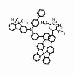 CC(C)CC(c1ccc(-c2ccc3c(c2)C2(c4ccccc4-3)c3ccccc3-c3ccc(-c4ccccc4-c4cccc(N(c5ccc(-c6ccccc6)cc5)c5ccc6c(c5)C(C)(C)c5ccccc5-6)c4)cc32)cc1)C(C)C